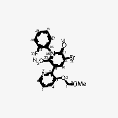 COCOc1cccnc1-c1cc(Br)c(=O)n(-c2ccccc2F)c1C